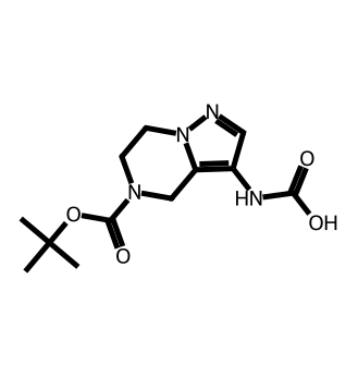 CC(C)(C)OC(=O)N1CCn2ncc(NC(=O)O)c2C1